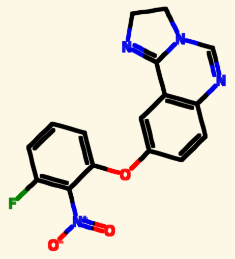 O=[N+]([O-])c1c(F)cccc1Oc1ccc2c(c1)C1=NCCN1C=N2